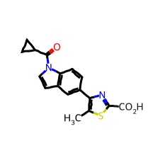 Cc1sc(C(=O)O)nc1-c1ccc2c(ccn2C(=O)C2CC2)c1